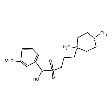 COc1cccc(N(O)S(=O)(=O)CCC[N+]2(C)CCN(C)CC2)c1